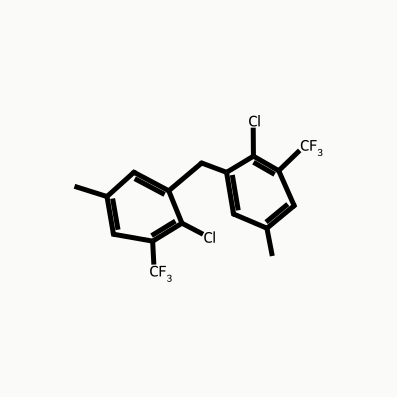 Cc1cc(Cc2cc(C)cc(C(F)(F)F)c2Cl)c(Cl)c(C(F)(F)F)c1